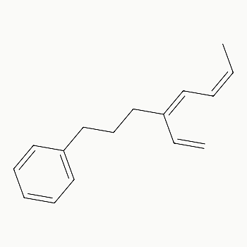 C=C/C(=C\C=C/C)CCCc1ccccc1